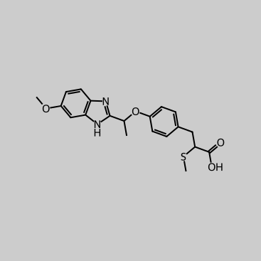 COc1ccc2nc(C(C)Oc3ccc(CC(SC)C(=O)O)cc3)[nH]c2c1